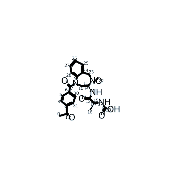 CC(=O)c1ccc(C(=O)N2C[C@@H](NC(=O)[C@H](C)NC(=O)O)[N+](=O)Cc3ccccc32)cc1